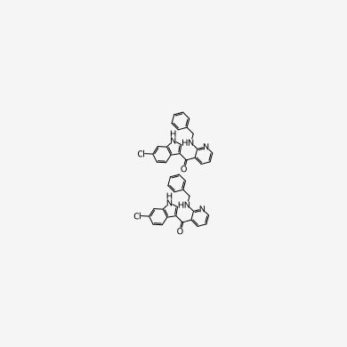 O=C(c1cccnc1NCc1ccccc1)c1c[nH]c2cc(Cl)ccc12.O=C(c1cccnc1NCc1ccccc1)c1c[nH]c2cc(Cl)ccc12